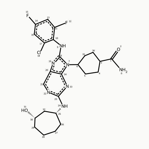 NC(=O)C1CCC(n2c(Nc3c(F)cc(F)cc3Cl)nc3cnc(N[C@@H]4CCCC[C@H](O)C4)nc32)CC1